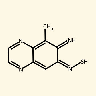 CC1=c2nccnc2=C/C(=N/S)C1=N